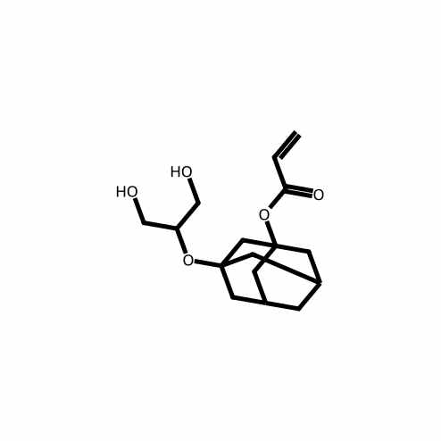 C=CC(=O)OC12CC3CC(C1)CC(OC(CO)CO)(C3)C2